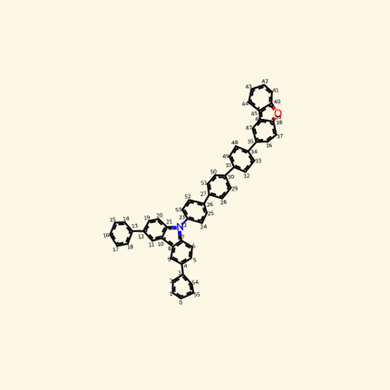 c1ccc(-c2ccc3c(c2)c2cc(-c4ccccc4)ccc2n3-c2ccc(-c3ccc(-c4ccc(-c5ccc6oc7ccccc7c6c5)cc4)cc3)cc2)cc1